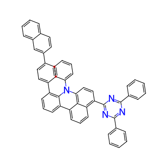 c1ccc(-c2nc(-c3ccccc3)nc(-c3ccc4c5c(cccc35)-c3cccc(-c5ccc(-c6ccc7ccccc7c6)cc5)c3N4c3ccccc3)n2)cc1